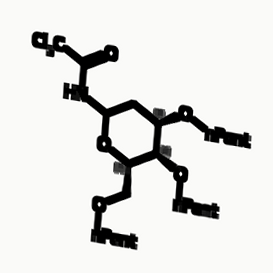 CCCCCOC[C@H]1OC(NC(=O)C(Cl)(Cl)Cl)C[C@@H](OCCCCC)[C@H]1OCCCCC